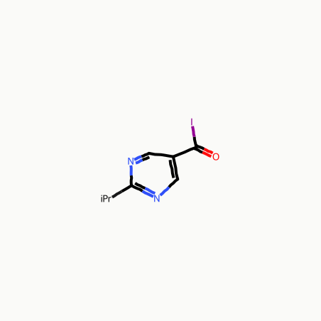 CC(C)c1ncc(C(=O)I)cn1